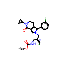 CC(C)(C)OC(=O)NC/C(=C\F)Cn1cc2c(c1-c1cccc(F)c1)CCN(C1CC1)C2=O